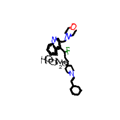 COc1ccc2ncc(CN3CCOCC3)c([C@@H](F)CCC3(C(=O)O)CCN(CCC4CCCCC4)CC3)c2c1